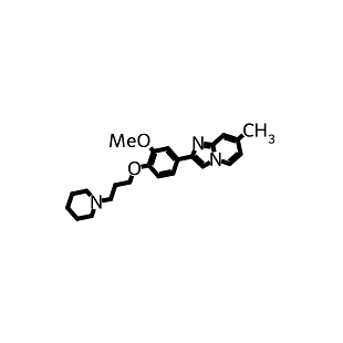 COc1cc(-c2cn3ccc(C)cc3n2)ccc1OCCCN1CCCCC1